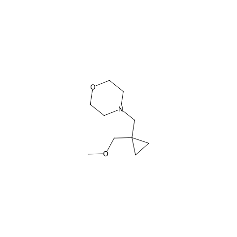 COCC1(CN2CCOCC2)CC1